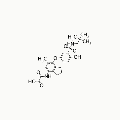 Cc1cc(NC(=O)C(=O)O)c2c(c1Oc1ccc(O)c(S(=O)(=O)NCC(C)(C)C)c1)CCC2